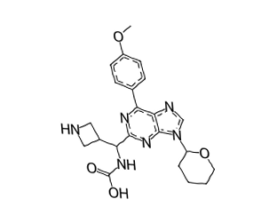 COc1ccc(-c2nc(C(NC(=O)O)C3CNC3)nc3c2ncn3C2CCCCO2)cc1